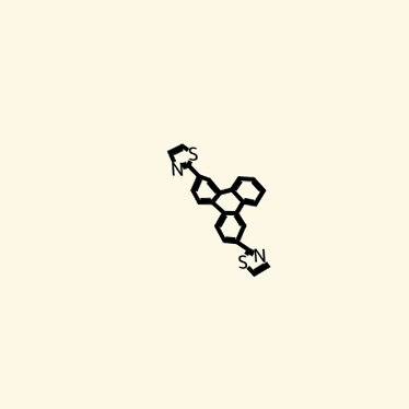 c1ccc2c(c1)c1cc(-c3nccs3)ccc1c1ccc(-c3nccs3)cc21